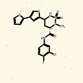 CN1[C@H](C(=O)Nc2ccc(F)c(Cl)c2)CC(c2cc(-c3cccs3)cs2)NS1(=O)=O